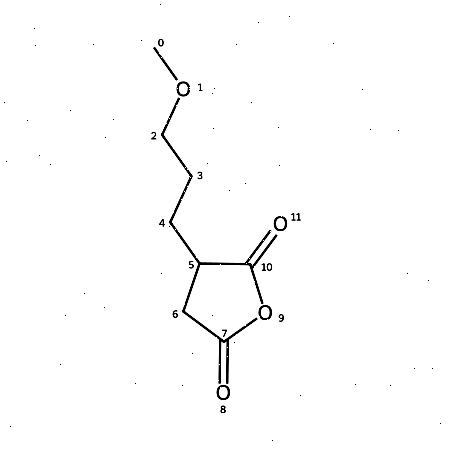 COCCCC1CC(=O)OC1=O